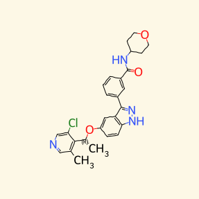 Cc1cncc(Cl)c1[C@@H](C)Oc1ccc2[nH]nc(-c3cccc(C(=O)NC4CCOCC4)c3)c2c1